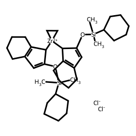 C[Si](C)(OC1=CC2=C(CCCC2)[CH]1[Zr+2]1([CH]2C(O[Si](C)(C)C3CCCCC3)=CC3=C2CCCC3)[CH2][CH2]1)C1CCCCC1.[Cl-].[Cl-]